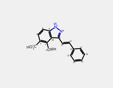 COc1c(C(=O)O)ccc2[nH]nc(C=Cc3ccccc3)c12